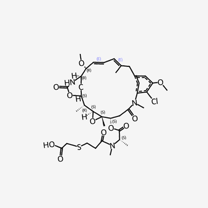 COc1cc2cc(c1Cl)N(C)C(=O)C[C@H](OC(=O)[C@H](C)N(C)C(=O)CCSCC(=O)O)[C@]1(C)O[C@H]1[C@H](C)[C@@H]1C[C@@H](NC(=O)O1)[C@H](OC)/C=C/C=C(\C)C2